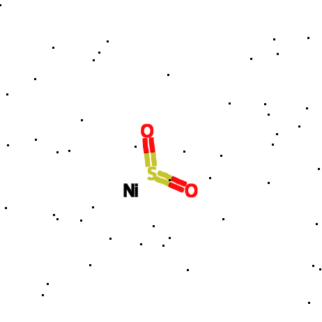 O=S=O.[Ni]